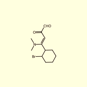 CN(C)C(=CC(=O)C=O)C1CCCCC1Br